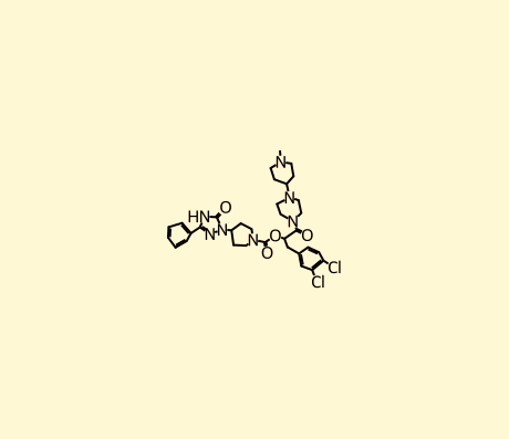 CN1CCC(N2CCN(C(=O)C(Cc3ccc(Cl)c(Cl)c3)OC(=O)N3CCC(n4nc(-c5ccccc5)[nH]c4=O)CC3)CC2)CC1